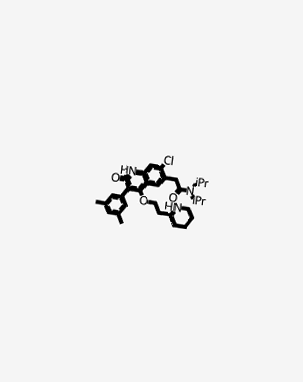 Cc1cc(C)cc(-c2c(OCCC3CCCCN3)c3cc(CC(=O)N(C(C)C)C(C)C)c(Cl)cc3[nH]c2=O)c1